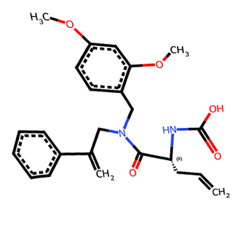 C=CC[C@@H](NC(=O)O)C(=O)N(CC(=C)c1ccccc1)Cc1ccc(OC)cc1OC